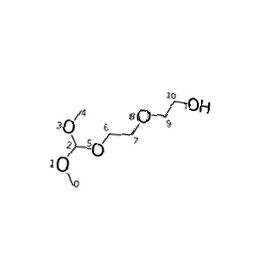 COC(OC)OCCOCCO